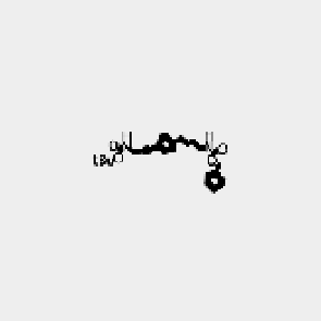 CC(C)(C)OC(=O)NCC#Cc1ccc(CCCCNC(=O)OCc2ccccc2)cc1